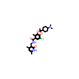 Cc1cc(C)c(CNC(=O)c2cc(Cl)c3c(c2C)OC(C)(C2CCC(N(C)C)CC2)O3)c(=O)[nH]1